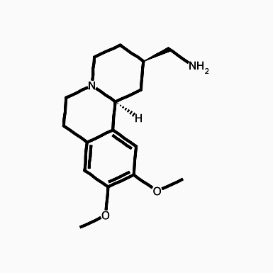 COc1cc2c(cc1OC)[C@@H]1C[C@H](CN)CCN1CC2